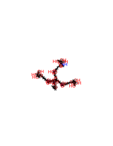 CC(=O)NC1[C@H](OCCCCCCOP(=O)(O)OCCCOCC(COCCCOP(=O)(O)OCCCCCCO[C@@H]2OC(CO)[C@H](O)[C@H](O)C2C)(COCCCOP(=O)(O)OCCCCCCO[C@@H]2OC(CO)[C@H](O)[C@H](O)C2C)COP(=O)(O)OC[C@H]2O[C@@H](C)CC2C)OC(CO)[C@H](O)[C@@H]1O